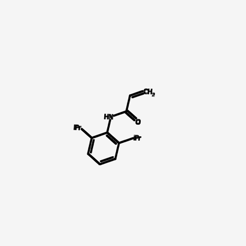 C=CC(=O)Nc1c(C(C)C)cccc1C(C)C